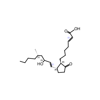 CCCC[C@H](C)C[C@H](O)/C=C/[C@H]1CCC(=O)[C@@H]1CCCC/C=C/C(=O)O